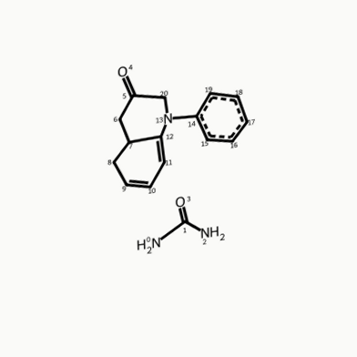 NC(N)=O.O=C1CC2CC=CC=C2N(c2ccccc2)C1